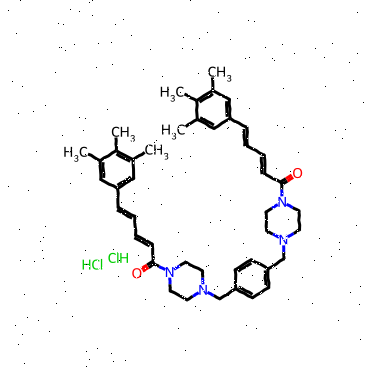 Cc1cc(C=CC=CC(=O)N2CCN(Cc3ccc(CN4CCN(C(=O)C=CC=Cc5cc(C)c(C)c(C)c5)CC4)cc3)CC2)cc(C)c1C.Cl.Cl